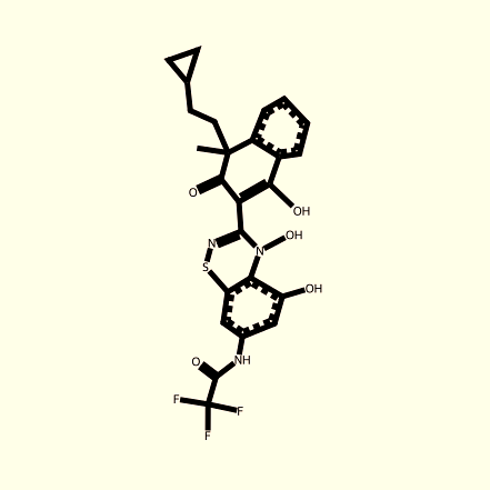 CC1(CCC2CC2)C(=O)C(C2=NSc3cc(NC(=O)C(F)(F)F)cc(O)c3N2O)=C(O)c2ccccc21